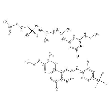 CCNc1nc(Cl)nc(NC(C)C)n1.CCOC(=O)C(C)OC(=O)c1cc(Oc2ccc(C(F)(F)F)cc2Cl)ccc1[N+](=O)[O-].C[S+](C)C.O=C(O)CNCP(=O)([O-])O